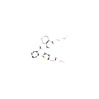 CCOCOC(=O)C1=C(C(=O)N(C(=O)c2ccccc2)c2c(F)sc(CC(=O)OCC)c2Cl)CCCC1